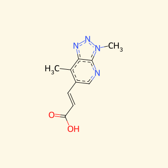 Cc1c(/C=C/C(=O)O)cnc2c1nnn2C